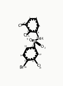 O=S(=O)(Nc1cccc(Cl)c1Cl)c1ccc(Br)c(Cl)c1